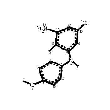 COc1ccc(N(C)c2cc(Cl)cc(N)c2C)cc1